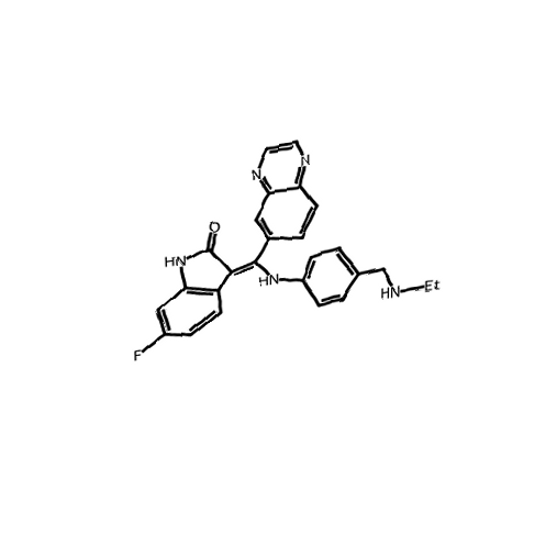 CCNCc1ccc(NC(=C2C(=O)Nc3cc(F)ccc32)c2ccc3nccnc3c2)cc1